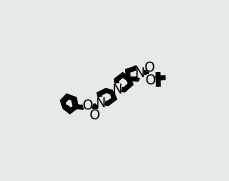 CC(C)(C)OC(=O)N1CCC2(CCN(C3CCN(C(=O)OCc4ccccc4)CC3)CC2)C1